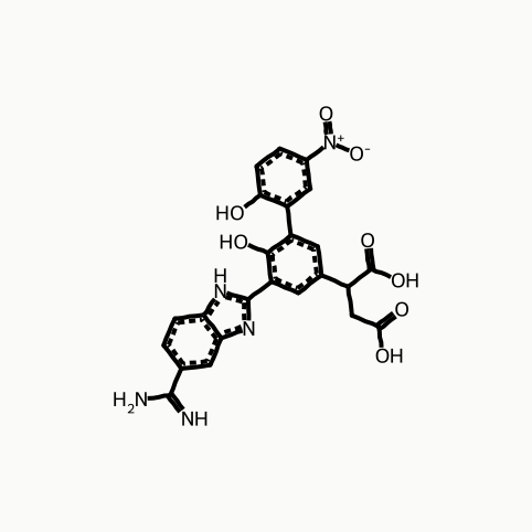 N=C(N)c1ccc2[nH]c(-c3cc(C(CC(=O)O)C(=O)O)cc(-c4cc([N+](=O)[O-])ccc4O)c3O)nc2c1